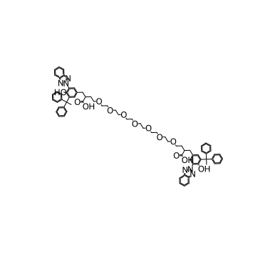 CC(c1ccccc1)(c1ccccc1)c1cc(CC(CCOCCOCCOCCOCCOCCOCCOCCC(Cc2cc(-n3nc4ccccc4n3)c(O)c(C(C)(c3ccccc3)c3ccccc3)c2)C(=O)O)C(=O)O)cc(-n2nc3ccccc3n2)c1O